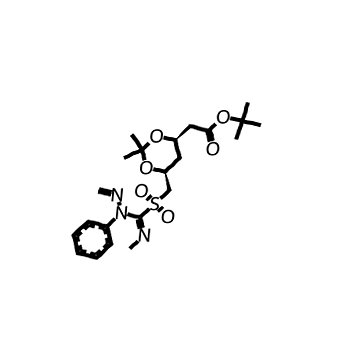 C=NN(/C(=N\C)S(=O)(=O)C[C@@H]1C[C@H](CC(=O)OC(C)(C)C)OC(C)(C)O1)c1ccccc1